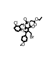 CCOC(=O)Cn1c(=O)c2c(CBr)c(-c3ccc(OC)cc3)sc2n(Cc2c(F)cccc2Cl)c1=O